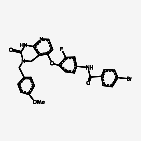 COc1ccc(CN2Cc3c(Oc4ccc(NC(=O)c5ccc(Br)cc5)cc4F)ccnc3NC2=O)cc1